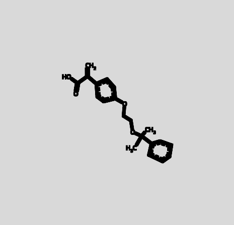 C=C(C(=O)O)c1ccc(OCCOC(C)(C)c2ccccc2)cc1